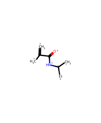 C=C(C)C(=O)N[C](C)CC